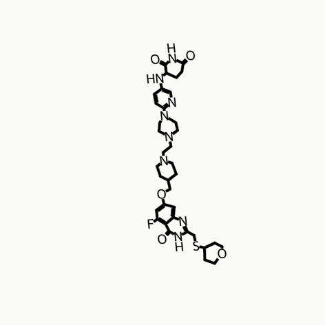 O=C1CCC(Nc2ccc(N3CCN(CCN4CCC(COc5cc(F)c6c(=O)[nH]c(CSC7CCOCC7)nc6c5)CC4)CC3)nc2)C(=O)N1